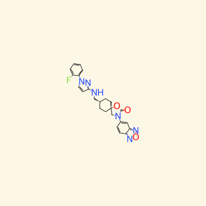 O=C1O[C@]2(CC[C@H](CNc3ccn(-c4ccccc4F)n3)CC2)CN1c1ccc2nonc2c1